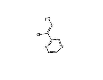 ON=C(Cl)c1cnccn1